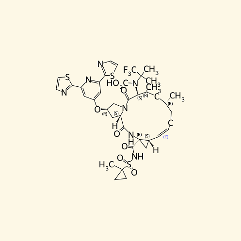 C[C@@H]1CC/C=C\[C@@H]2C[C@@]2(C(=O)NS(=O)(=O)C2(C)CC2)NC(=O)[C@@H]2C[C@@H](Oc3cc(-c4nccs4)nc(-c4nccs4)c3)CN2C(=O)[C@@H](N(C(=O)O)C(C)(C)C(F)(F)F)[C@H](C)C1